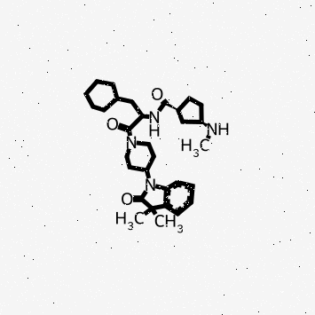 CN[C@@H]1CC[C@H](C(=O)NC(CC2CCCCC2)C(=O)N2CCC(N3C(=O)C(C)(C)c4ccccc43)CC2)C1